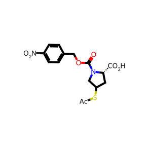 CC(=O)SC1C[C@@H](C(=O)O)N(C(=O)OCc2ccc([N+](=O)[O-])cc2)C1